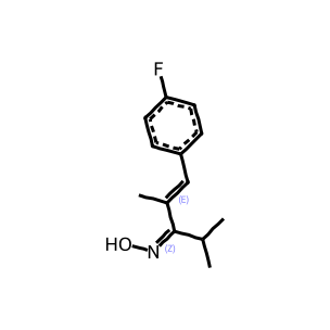 CC(=C\c1ccc(F)cc1)/C(=N\O)C(C)C